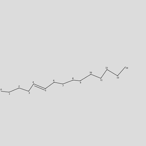 [CH2]CCC/C=C/CCCCCCCCC